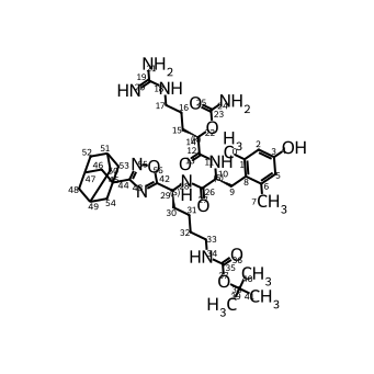 Cc1cc(O)cc(C)c1C[C@H](NC(=O)[C@@H](CCCNC(=N)N)OC(N)=O)C(=O)N[C@@H](CCCCNC(=O)OC(C)(C)C)c1nc(C23CC4CC(CC(C4)C2)C3)no1